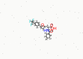 O=C(O)C(=Cc1ccc(-c2ccc(C(F)(F)F)cc2)o1)NC(=O)c1ccccc1